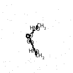 C=CC(=O)NCCCCOC(=O)Cc1ccccc1OCCCCNC(=O)C=C